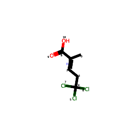 C/C(=C\CC(Cl)(Cl)Cl)C(=O)O